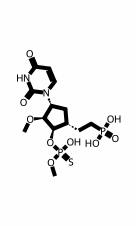 CO[C@@H]1[C@H](OP(O)(=S)OC)[C@@H](CCP(=O)(O)O)C[C@H]1n1ccc(=O)[nH]c1=O